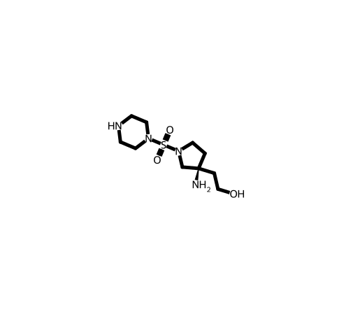 N[C@]1(CCO)CCN(S(=O)(=O)N2CCNCC2)C1